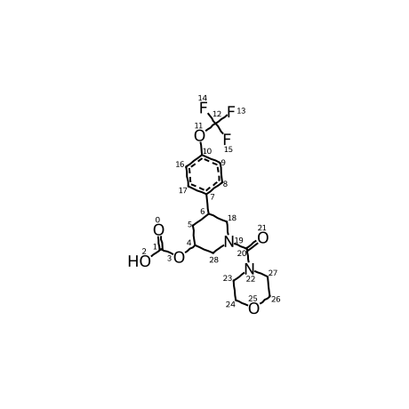 O=C(O)OC1CC(c2ccc(OC(F)(F)F)cc2)CN(C(=O)N2CCOCC2)C1